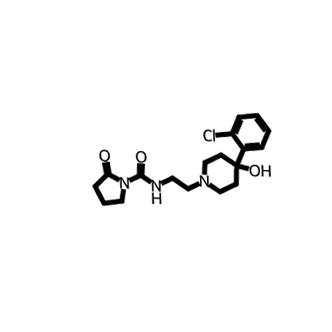 O=C1CCCN1C(=O)NCCN1CCC(O)(c2ccccc2Cl)CC1